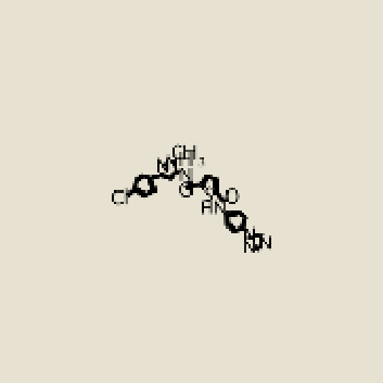 Cn1nc(-c2ccc(Cl)cc2)cc1NC(=O)c1ccc(C(=O)Nc2ccc(-n3cncn3)cc2)s1